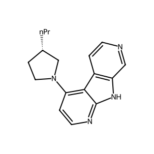 CCC[C@H]1CCN(c2ccnc3[nH]c4cnccc4c23)C1